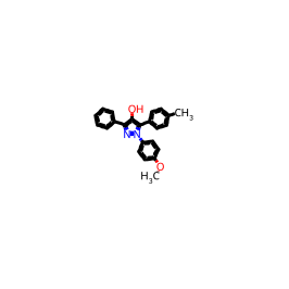 COc1ccc(-n2nc(-c3ccccc3)c(O)c2-c2ccc(C)cc2)cc1